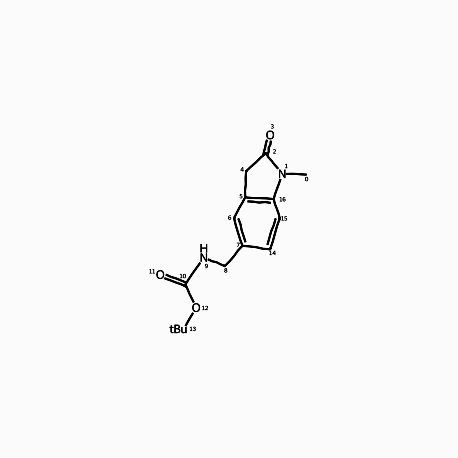 CN1C(=O)Cc2cc(CNC(=O)OC(C)(C)C)ccc21